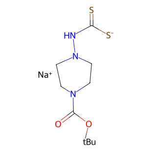 CC(C)(C)OC(=O)N1CCN(NC(=S)[S-])CC1.[Na+]